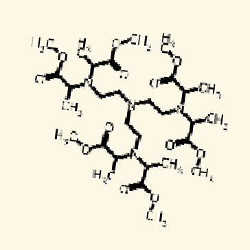 COC(=O)C(C)N(CCN(CCN(C(C)C(=O)OC)C(C)C(=O)OC)CCN(C(C)C(=O)OC)C(C)C(=O)OC)C(C)C(=O)OC